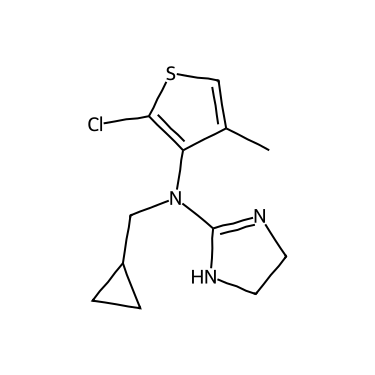 Cc1csc(Cl)c1N(CC1CC1)C1=NCCN1